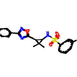 CC1(C)C(NS(=O)(=O)c2cccc(F)c2)C1c1nc(-c2ccccc2)no1